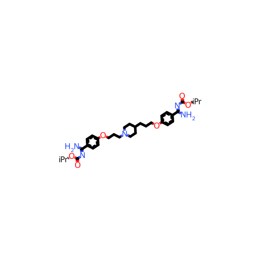 CC(C)OC(=O)N=C(N)c1ccc(OCCCC2CCN(CCCOc3ccc(C(N)=NC(=O)OC(C)C)cc3)CC2)cc1